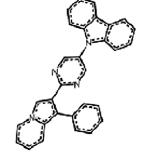 c1ccc(-c2c(-c3ncc(-n4c5ccccc5c5ccccc54)cn3)cn3ccccc23)cc1